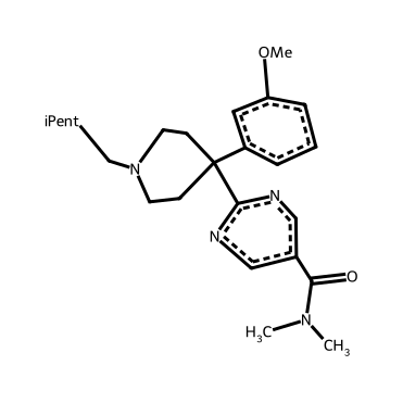 CCCC(C)CN1CCC(c2cccc(OC)c2)(c2ncc(C(=O)N(C)C)cn2)CC1